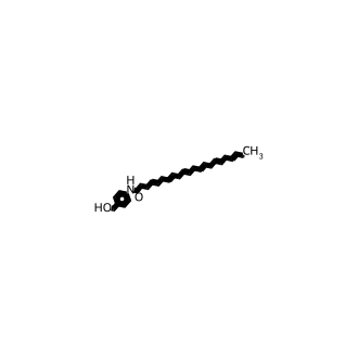 CCC=CCC=CCC=CCC=CCC=CCC=CCCC(=O)Nc1ccc(CO)cc1